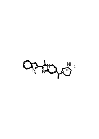 C=C(c1ccn2c(C)c(-c3cc4ccccc4n3C)nc2c1)N1CCC[C@@H](N)C1